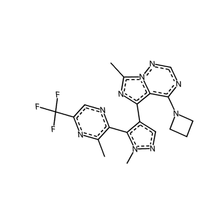 Cc1nc(C(F)(F)F)cnc1-c1c(-c2nc(C)n3ncnc(N4CCC4)c23)cnn1C